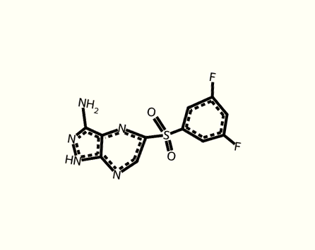 Nc1n[nH]c2ncc(S(=O)(=O)c3cc(F)cc(F)c3)nc12